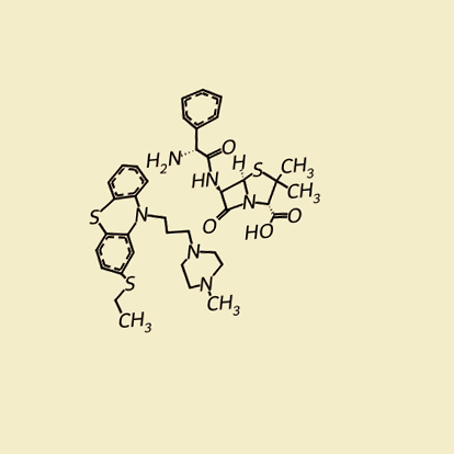 CC1(C)S[C@@H]2[C@H](NC(=O)[C@H](N)c3ccccc3)C(=O)N2[C@H]1C(=O)O.CCSc1ccc2c(c1)N(CCCN1CCN(C)CC1)c1ccccc1S2